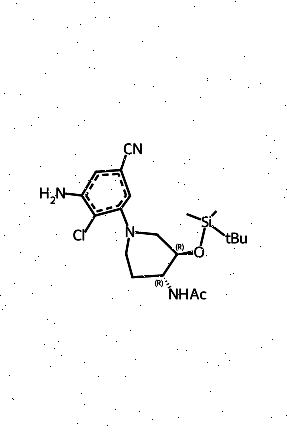 CC(=O)N[C@@H]1CCN(c2cc(C#N)cc(N)c2Cl)C[C@H]1O[Si](C)(C)C(C)(C)C